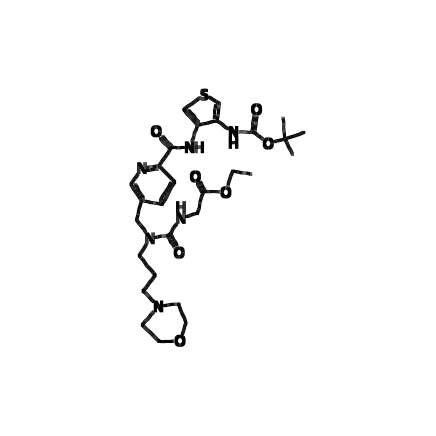 CCOC(=O)CNC(=O)N(CCCN1CCOCC1)Cc1ccc(C(=O)Nc2cscc2NC(=O)OC(C)(C)C)nc1